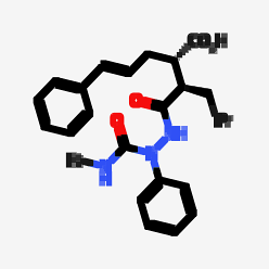 CCNC(=O)N(NC(=O)[C@H](CC(C)C)[C@H](CC=Cc1ccccc1)C(=O)O)c1ccccc1